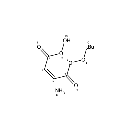 CC(C)(C)OOC(=O)/C=C\C(=O)OO.N